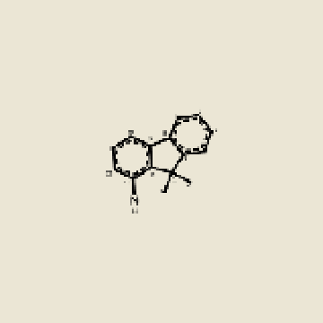 CC1(C)c2ccccc2-c2cccc([N])c21